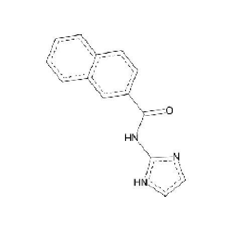 O=C(Nc1ncc[nH]1)c1ccc2ccccc2c1